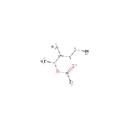 CCC(=O)OC(C)C(C)CCC(C)C